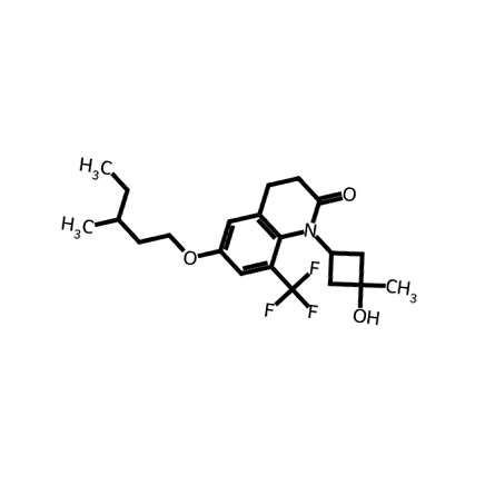 CCC(C)CCOc1cc2c(c(C(F)(F)F)c1)N(C1CC(C)(O)C1)C(=O)CC2